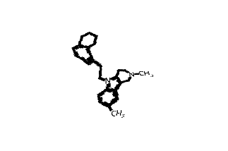 Cc1ccc2c(c1)c1c(n2CCc2cccc3c2CCCC3)CCN(C)C1